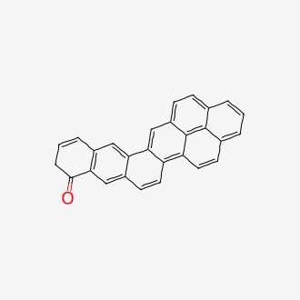 O=C1CC=Cc2cc3c(ccc4c3cc3ccc5cccc6ccc4c3c56)cc21